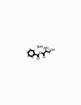 N[C@@H](CO)C(=O)OC(=O)c1ccccc1.[NaH]